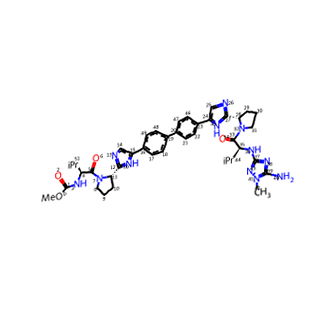 COC(=O)N[C@H](C(=O)N1CCC[C@H]1c1ncc(-c2ccc(-c3ccc(-c4cnc([C@@H]5CCCN5C(=O)[C@@H](Nc5nc(N)n(C)n5)C(C)C)[nH]4)cc3)cc2)[nH]1)C(C)C